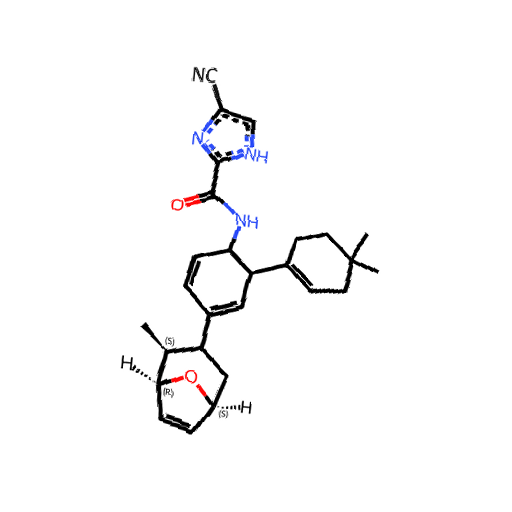 C[C@H]1C(C2=CC(C3=CCC(C)(C)CC3)C(NC(=O)c3nc(C#N)c[nH]3)C=C2)C[C@H]2C=C[C@@H]1O2